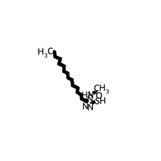 CCCCCCCCCCCCCCCc1nnc(S)n1NC(C)=O